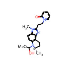 COC(O)N1c2ccc3c(nc(CCn4ccccc4=O)n3C)c2CC[C@@H]1C